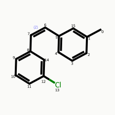 Cc1cccc(/C=C\c2cccc(Cl)c2)c1